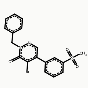 CS(=O)(=O)c1cccc(-c2cnn(Cc3ccccc3)c(=O)c2Br)c1